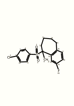 CC1(S(=O)(=O)c2ccc(Cl)cc2)CCCCc2ccc(F)cc21